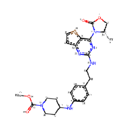 CC(C)[C@H]1COC(=O)N1c1nc(NCCc2ccc(NC3CCN(C(=O)OC(C)(C)C)CC3)cc2)nc2ccsc12